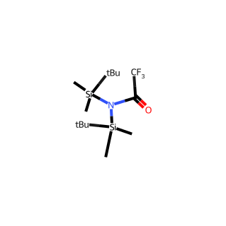 CC(C)(C)[Si](C)(C)N(C(=O)C(F)(F)F)[Si](C)(C)C(C)(C)C